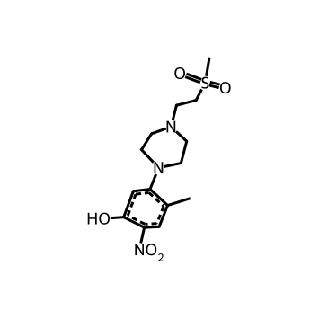 Cc1cc([N+](=O)[O-])c(O)cc1N1CCN(CCS(C)(=O)=O)CC1